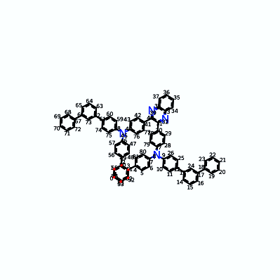 c1ccc(-c2ccc(N(c3ccc(-c4cccc(-c5ccccc5)c4)cc3)c3ccc(-c4nc5ccccc5nc4-c4ccc(N(c5ccc(-c6ccccc6)cc5)c5ccc(-c6cccc(-c7ccccc7)c6)cc5)cc4)cc3)cc2)cc1